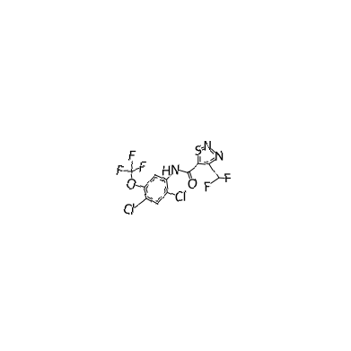 O=C(Nc1cc(OC(F)(F)F)c(Cl)cc1Cl)c1snnc1C(F)F